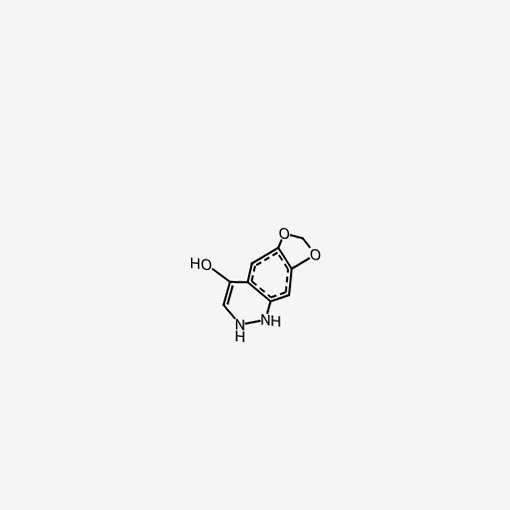 OC1=CNNc2cc3c(cc21)OCO3